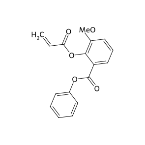 C=CC(=O)Oc1c(OC)cccc1C(=O)Oc1ccccc1